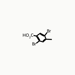 Cc1cc(Br)c(C(=O)O)cc1Br